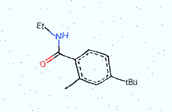 CCNC(=O)c1ccc(C(C)(C)C)cc1C